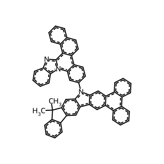 CC1(C)c2ccccc2-c2cc3c4cc5c6ccccc6c6ccccc6c5cc4n(-c4ccc5c6ccc7ccccc7c6c6nc7ccccc7n6c5c4)c3cc21